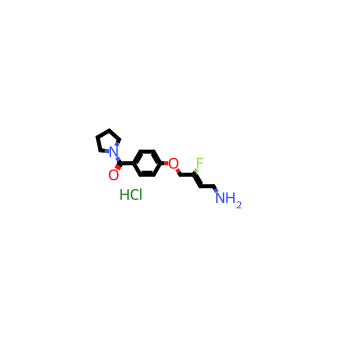 Cl.NCC=C(F)COc1ccc(C(=O)N2CCCC2)cc1